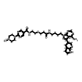 CCN1CCN(c2ncc(C(=O)NCCOCCC(=O)NCCCCn3nc(-c4cnc5[nH]ccc5c4)c4c(N)ncnc43)cn2)CC1